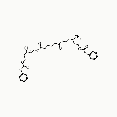 CC(CCOC(=O)CCCCC(=O)OCCC(C)CCOC(=O)Oc1ccccc1)CCOC(=O)Oc1ccccc1